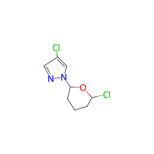 Clc1cnn(C2CCCC(Cl)O2)c1